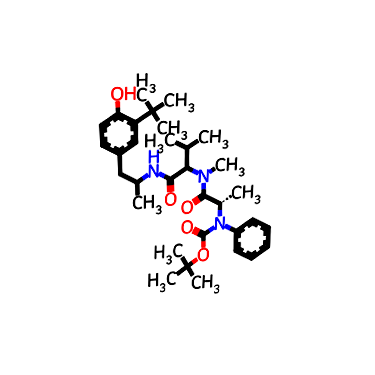 CC(Cc1ccc(O)c(C(C)(C)C)c1)NC(=O)C(C(C)C)N(C)C(=O)[C@H](C)N(C(=O)OC(C)(C)C)c1ccccc1